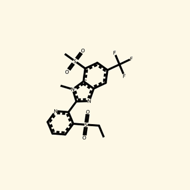 CCS(=O)(=O)c1cccnc1-c1nc2cc(C(F)(F)F)cc(S(C)(=O)=O)c2n1C